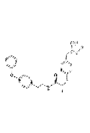 CCO[C@@H](Cc1ccc(OC(C)C(=O)NCCc2ccc(Oc3ccccc3)cc2)cc1)C(=O)O